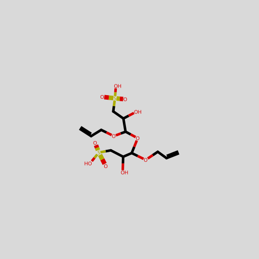 C=CCOC(OC(OCC=C)C(O)CS(=O)(=O)O)C(O)CS(=O)(=O)O